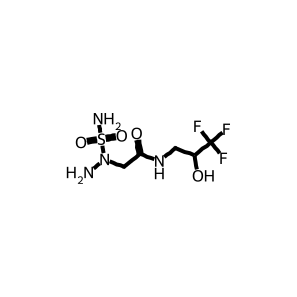 NN(CC(=O)NCC(O)C(F)(F)F)S(N)(=O)=O